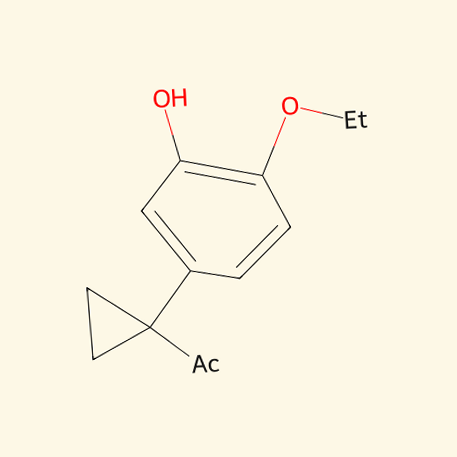 CCOc1ccc(C2(C(C)=O)CC2)cc1O